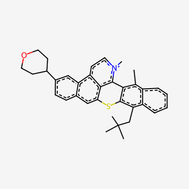 Cc1c2c(c(CC(C)(C)C)c3ccccc13)Sc1cc3ccc(C4CCOCC4)cc3c3cc[n+](C)c-2c13